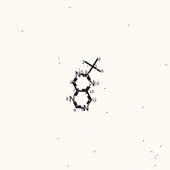 CC(C)(C)c1ncc2ncncc2n1